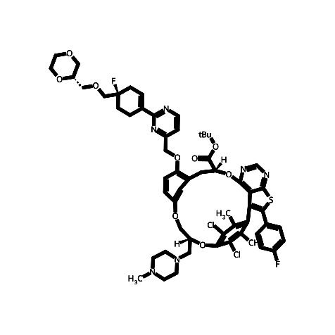 Cc1c(Cl)c2c(Cl)c(C)c1-c1c(-c3ccc(F)cc3)sc3ncnc(c13)O[C@@H](C(=O)OC(C)(C)C)Cc1cc(ccc1OCc1ccnc(C3=CC[C@@](F)(COC[C@H]4COCCO4)CC3)n1)OC[C@@H](CN1CCN(C)CC1)O2